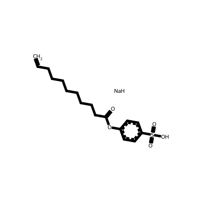 C=CCCCCCCCCC(=O)Oc1ccc(S(=O)(=O)O)cc1.[NaH]